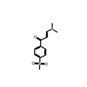 CN(C)/C=C/C(=O)c1ccc(S(C)(=O)=O)cc1